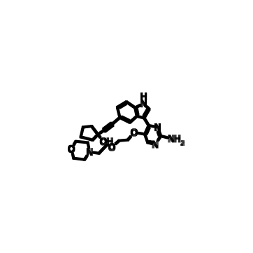 Nc1ncc(OCCOCCN2CCOCC2)c(-c2c[nH]c3ccc(C#CC4(O)CCCC4)cc23)n1